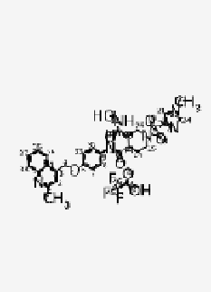 Cc1cc(COc2ccc(NC(=O)[C@H]3CCN(S(=O)(=O)c4cn(C)cn4)C[C@@H]3C(=O)NO)cc2)c2ccccc2n1.O=C(O)C(F)(F)F